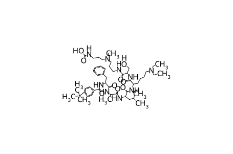 CCN(CC)CCCCC(NC(=O)C(CC(C)C)NC(=O)C(C)NC(=O)C(Cc1ccccc1)NC(=O)c1ccc(C(C)(C)C)cc1)C(=O)NC(CO)C(=O)NCCCN(C)CCCNC(=O)O